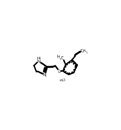 CCc1cccc(OCC2=NCCN2)c1C.Cl